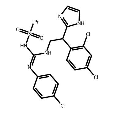 CC(C)S(=O)(=O)NC(=Nc1ccc(Cl)cc1)NCC(c1ncc[nH]1)c1ccc(Cl)cc1Cl